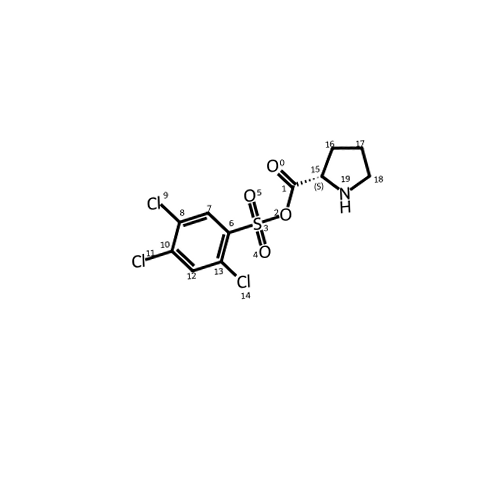 O=C(OS(=O)(=O)c1cc(Cl)c(Cl)cc1Cl)[C@@H]1CCCN1